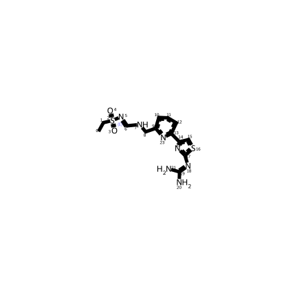 CCS(=O)(=O)/N=C/NCc1cccc(-c2csc(N=C(N)N)n2)n1